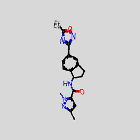 CCc1nc(-c2ccc3c(c2)CCC3NC(=O)c2cc(C)nn2C)no1